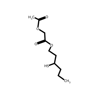 CCCC(S)CCOC(=O)COC(C)=O